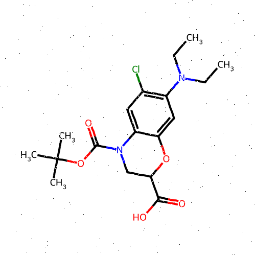 CCN(CC)c1cc2c(cc1Cl)N(C(=O)OC(C)(C)C)CC(C(=O)O)O2